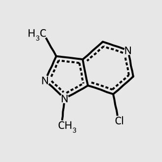 Cc1nn(C)c2c(Cl)cncc12